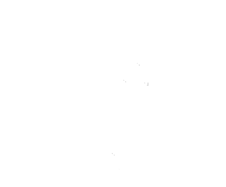 COc1ccc(-c2cnc(Nc3ccc(OCCN(C)Cc4ccco4)cc3)nc2)cc1